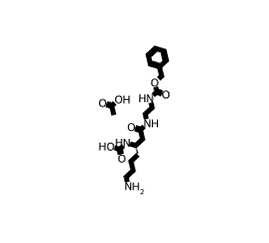 CC(=O)O.NCCCC[C@@H](CC(=O)NCCNC(=O)OCc1ccccc1)NC(=O)O